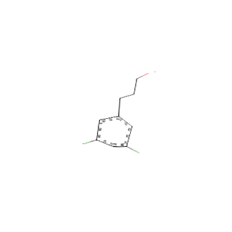 OCCCc1cc(Cl)cc(Cl)c1